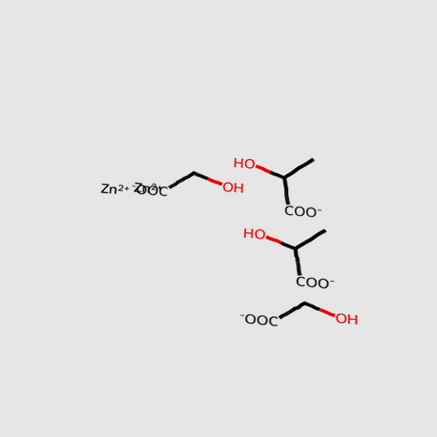 CC(O)C(=O)[O-].CC(O)C(=O)[O-].O=C([O-])CO.O=C([O-])CO.[Zn+2].[Zn+2]